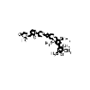 COc1cc(-c2cn(C)c(=O)c(C)c2C)cc(OC)c1CN1CCC2(CC1)CC(N1CCC(n3cccc(CN4CCC(=O)NC4=O)c3=O)CC1)C2